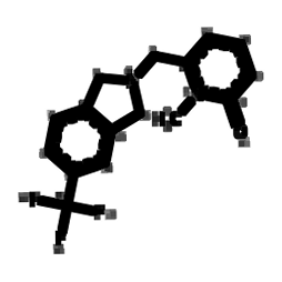 Cn1c(CN2Cc3ccc(C(F)(F)F)cc3C2)cccc1=O